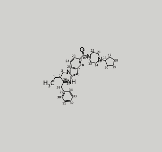 CC[C@@H](Cn1ccc2cc(C(=O)N3CCN(C4CCCC4)CC3)ccc21)C(=N)Cc1ccccc1